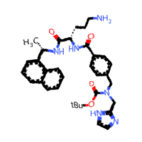 C[C@H](NC(=O)[C@H](CCCN)NC(=O)c1ccc(CN(Cc2ncc[nH]2)C(=O)OC(C)(C)C)cc1)c1cccc2ccccc12